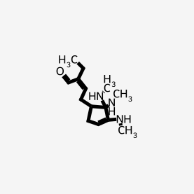 CCC(C=O)=CCC1CC=C(NC)C1(NC)NC